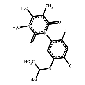 CCC(C)C(Sc1cc(-n2c(=O)c(C)c(C(F)(F)F)n(C)c2=O)c(F)cc1Cl)C(=O)O